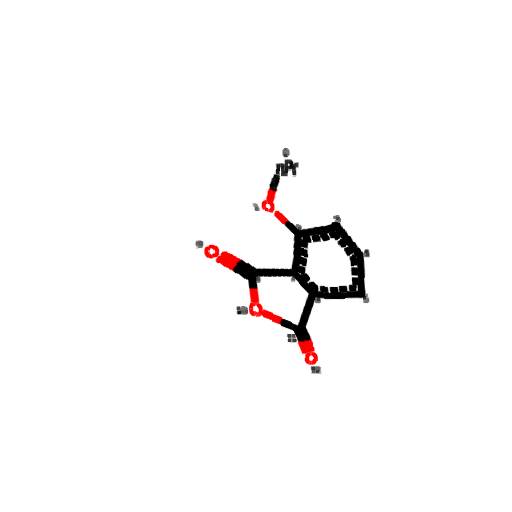 CCCOc1cccc2c1C(=O)OC2=O